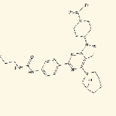 CC(C)C(=O)N1CCC(n2ncc3c(N4CC5CCC(C4)O5)nc(-c4ccc(NC(=O)NCCF)cc4)nc32)CC1